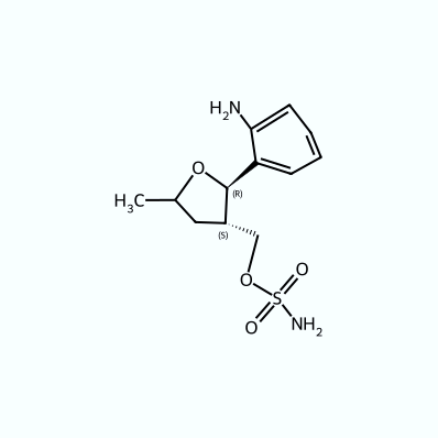 CC1C[C@@H](COS(N)(=O)=O)[C@H](c2ccccc2N)O1